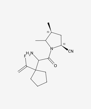 C=C(F)C1(C(N)C(=O)N2C(C)[C@@H](C)C[C@H]2C#N)CCCC1